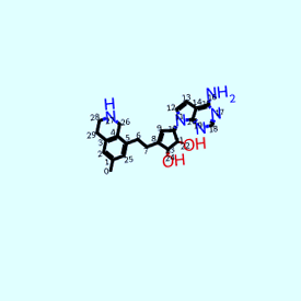 Cc1cc2c(c(CCC3=CC(n4ccc5c(N)ncnc54)[C@@H](O)C3O)c1)CNCC2